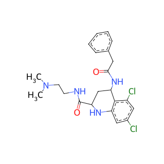 CN(C)CCNC(=O)C1CC(NC(=O)Cc2ccccc2)c2c(Cl)cc(Cl)cc2N1